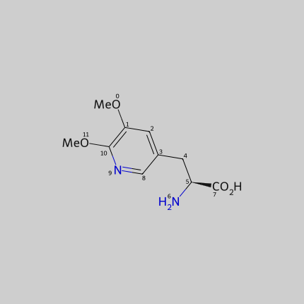 COc1cc(C[C@H](N)C(=O)O)cnc1OC